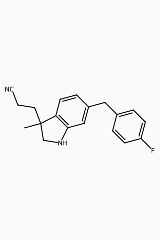 CC1(CCC#N)CNc2cc(Cc3ccc(F)cc3)ccc21